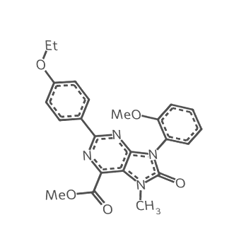 CCOc1ccc(-c2nc(C(=O)OC)c3c(n2)n(-c2ccccc2OC)c(=O)n3C)cc1